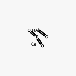 [Ce].[O]=[AlH].[O]=[Ti]=[O]